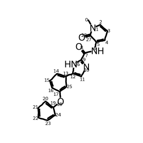 Cn1cccc(NC(=O)c2ncc(-c3cccc(Oc4ccccc4)c3)[nH]2)c1=O